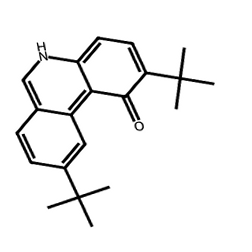 CC(C)(C)c1ccc2c[nH]c3ccc(C(C)(C)C)c(=O)c-3c2c1